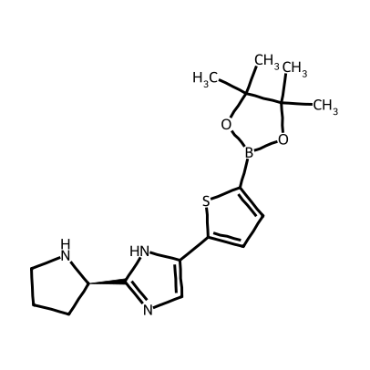 CC1(C)OB(c2ccc(-c3cnc([C@H]4CCCN4)[nH]3)s2)OC1(C)C